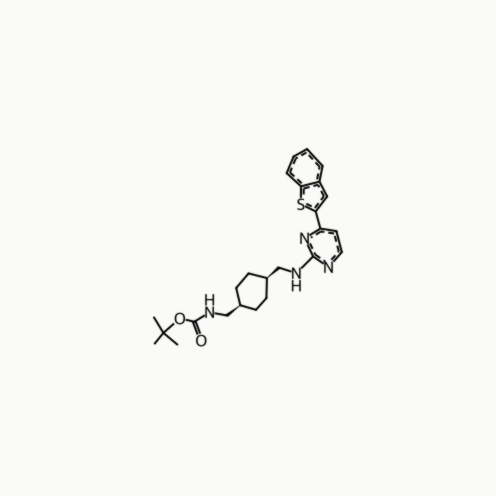 CC(C)(C)OC(=O)NC[C@H]1CC[C@@H](CNc2nccc(-c3cc4ccccc4s3)n2)CC1